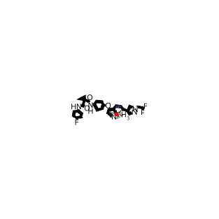 C=C(/C=C\c1c(Oc2ccc(NC(=O)C3(C(=O)Nc4ccc(F)cc4)CC3)cc2)ccnc1C)c1cnn(CC(F)F)c1